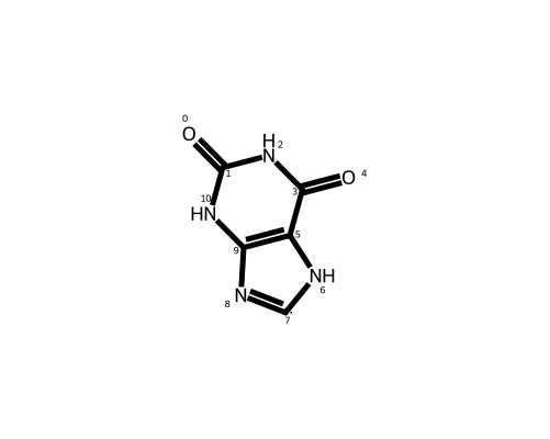 O=c1[nH]c(=O)c2[nH][c]nc2[nH]1